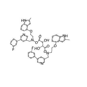 Cc1cc2c(OCCN(Cc3cncc(-c4cccc(F)c4)c3)OC(=O)C(O)C(O)C(=O)ON(CCOc3cccc4[nH]c(C)cc34)Cc3cncc(-c4cccc(F)c4)c3)cccc2[nH]1